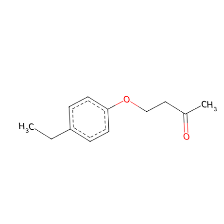 CCc1ccc(OCCC(C)=O)cc1